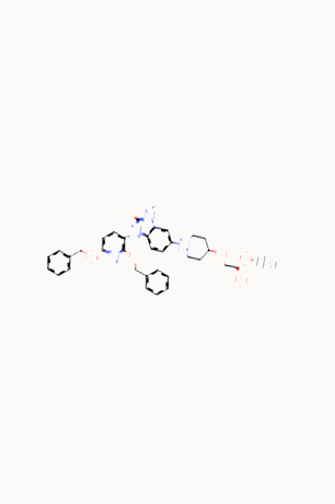 Cn1c(=O)n(-c2ccc(OCc3ccccc3)nc2OCc2ccccc2)c2ccc(N3CCC(OCC(=O)OC(C)(C)C)CC3)cc21